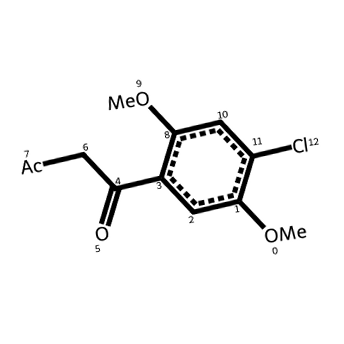 COc1cc(C(=O)CC(C)=O)c(OC)cc1Cl